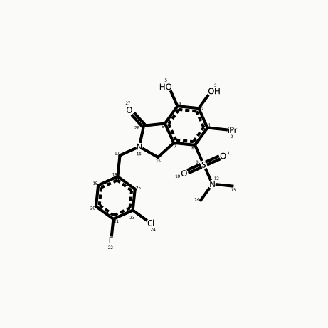 CC(C)c1c(O)c(O)c2c(c1S(=O)(=O)N(C)C)CN(Cc1ccc(F)c(Cl)c1)C2=O